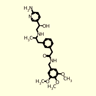 COc1cc(CNC(=O)Cc2cccc(CC(C)NC[C@H](O)c3ccc(N)nc3)c2)cc(OC)c1OC